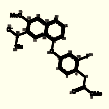 COC(=O)Cc1ccc(Oc2ccnc3cc(OC)c([S+]([O-])C(C)(C)C)cc23)cc1F